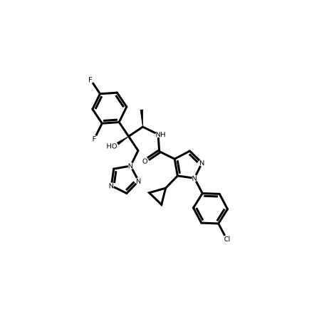 C[C@@H](NC(=O)c1cnn(-c2ccc(Cl)cc2)c1C1CC1)[C@](O)(Cn1cncn1)c1ccc(F)cc1F